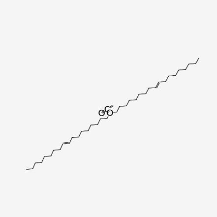 C=C=O.CCCCCCCCC=CCCCCCCCCOCCCCCCCCC=CCCCCCCCC